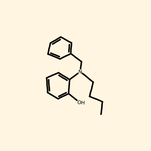 CCCCN(Cc1ccccc1)c1ccccc1O